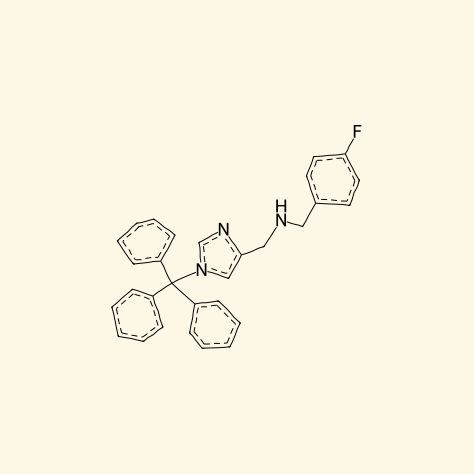 Fc1ccc(CNCc2cn(C(c3ccccc3)(c3ccccc3)c3ccccc3)cn2)cc1